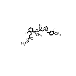 CCOC(=O)CCc1c(Cl)cccc1[C@@H](CC)OC[C@H](O)CN1CCC[C@H]1Cc1ccc(C)c(Cl)c1